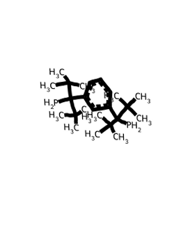 CC(C)(C)C(P)(c1cccc(C(P)(C(C)(C)C)C(C)(C)C)c1)C(C)(C)C